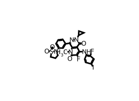 Cn1c(=O)c(F)c(Nc2ccc(I)cc2F)c2c(=O)n(C3CC3)nc(-c3cccc(N4CCCS4(=O)=O)c3)c21